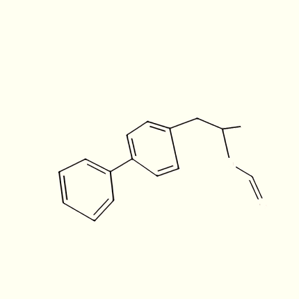 CC(Cc1ccc(-c2ccccc2)cc1)O[C]=O